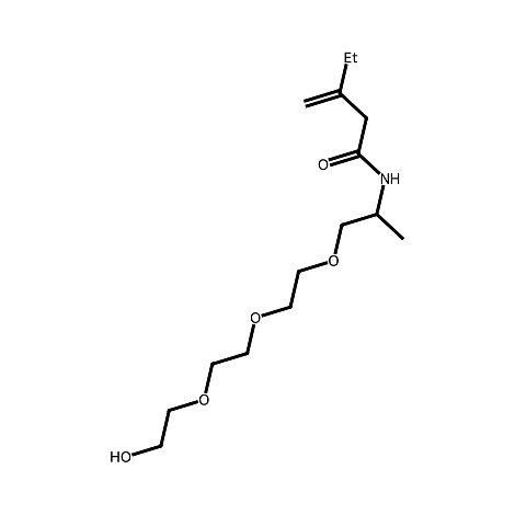 C=C(CC)CC(=O)NC(C)COCCOCCOCCO